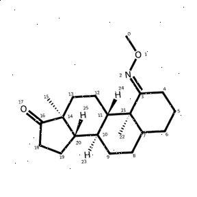 CO/N=C1\CCCC2CC[C@@H]3[C@H](CC[C@]4(C)C(=O)CC[C@@H]34)[C@@]12C